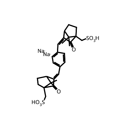 CC1(C)C2CCC1(CS(=O)(=O)O)C(=O)C2=Cc1ccc(C=C2C(=O)C3(CS(=O)(=O)O)CCC2C3(C)C)cc1.[Na].[Na]